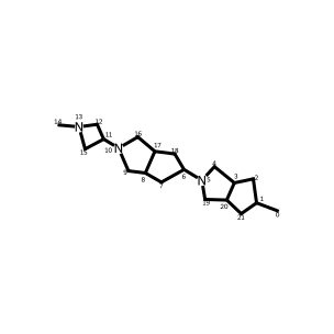 CC1CC2CN(C3CC4CN(C5CN(C)C5)CC4C3)CC2C1